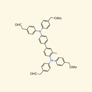 COCc1ccc(N(c2ccc(CC=O)cc2)c2ccc(-c3ccc(N(c4ccc(CC=O)cc4)c4ccc(COC)cc4)c(C)c3)cc2)cc1